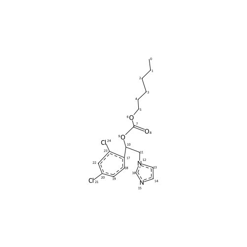 CCCCCCOC(=O)OC(Cn1ccnc1)c1ccc(Cl)cc1Cl